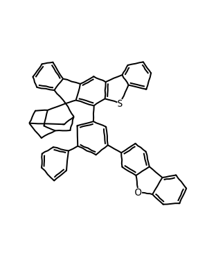 c1ccc(-c2cc(-c3ccc4c(c3)oc3ccccc34)cc(-c3c4c(cc5c3sc3ccccc35)-c3ccccc3C43C4CC5CC(C4)CC3C5)c2)cc1